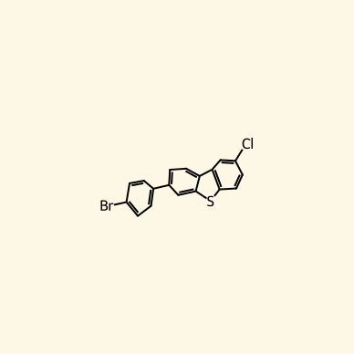 Clc1ccc2sc3cc(-c4ccc(Br)cc4)ccc3c2c1